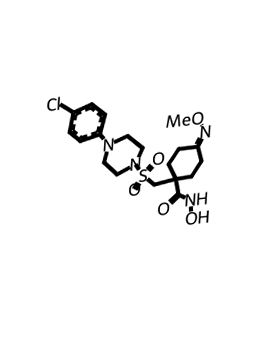 CON=C1CCC(CS(=O)(=O)N2CCN(c3ccc(Cl)cc3)CC2)(C(=O)NO)CC1